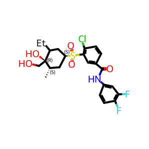 CCC1C[C@@H](S(=O)(=O)c2cc(C(=O)Nc3ccc(F)c(F)c3)ccc2Cl)C[C@H](C)[C@]1(O)CO